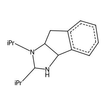 CC(C)C1NC2c3ccccc3CC2N1C(C)C